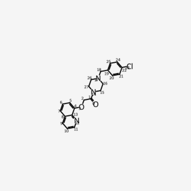 O=C(COc1cccc2cccnc12)N1CCN(Cc2ccc(Cl)cc2)CC1